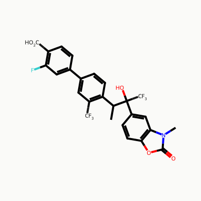 CC(c1ccc(-c2ccc(C(=O)O)c(F)c2)cc1C(F)(F)F)C(O)(c1ccc2oc(=O)n(C)c2c1)C(F)(F)F